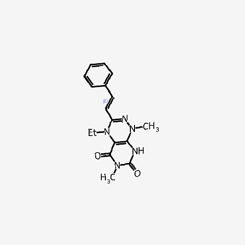 CCN1C(/C=C/c2ccccc2)=NN(C)c2[nH]c(=O)n(C)c(=O)c21